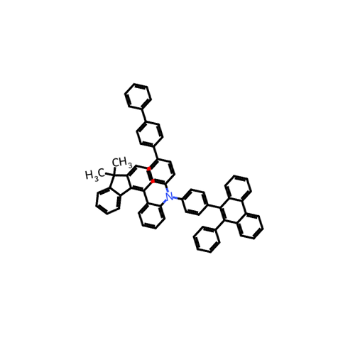 CC1(C)c2ccccc2-c2c(-c3ccccc3N(c3ccc(-c4ccc(-c5ccccc5)cc4)cc3)c3ccc(-c4c(-c5ccccc5)c5ccccc5c5ccccc45)cc3)cccc21